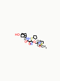 C=S1(=O)CCCN1C(C)(C)COc1noc(C(=O)N[C@H]2C3CC4CC2C[C@](O)(C4)C3)c1SC1CCCC1